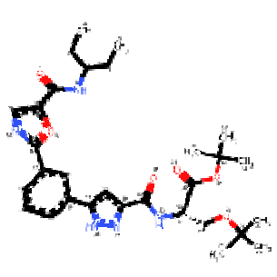 CCC(CC)NC(=O)c1cnc(-c2cccc(-c3cc(C(=O)N[C@@H](COC(C)(C)C)C(=O)OC(C)(C)C)n[nH]3)c2)o1